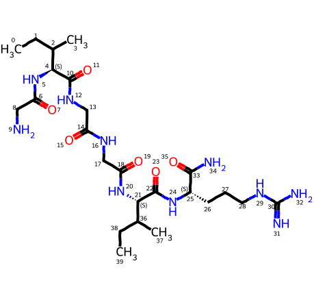 CCC(C)[C@H](NC(=O)CN)C(=O)NCC(=O)NCC(=O)N[C@H](C(=O)N[C@@H](CCCNC(=N)N)C(N)=O)C(C)CC